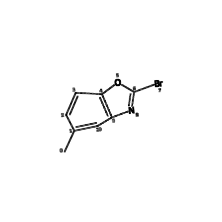 Cc1ccc2oc(Br)nc2c1